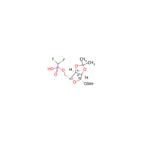 CO[C@@H]1O[C@H](COP(=O)(O)C(F)F)[C@H]2OC(C)(C)O[C@@H]12